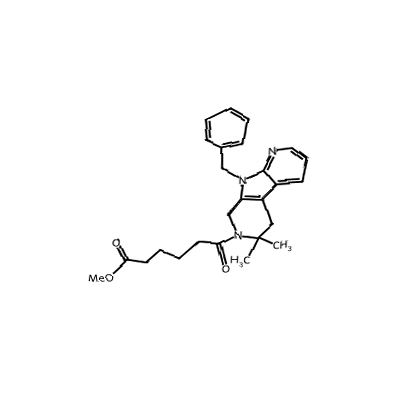 COC(=O)CCCCC(=O)N1Cc2c(c3cccnc3n2Cc2ccccc2)CC1(C)C